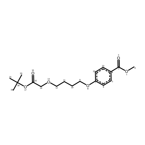 COC(=O)c1ccc(OCCCCOCC(=O)OC(C)(C)C)cc1